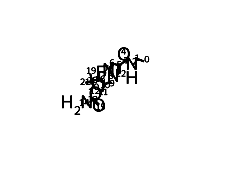 CCNC(=O)c1cnn(CC(COC(N)=O)=C(F)C(C)(C)C)c1